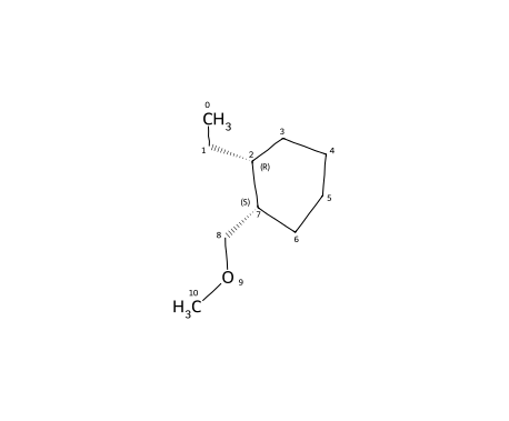 CC[C@@H]1CCCC[C@@H]1COC